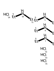 CCNCC.CCNCC.CCNCC.CCNCC.Cl.Cl.Cl.Cl